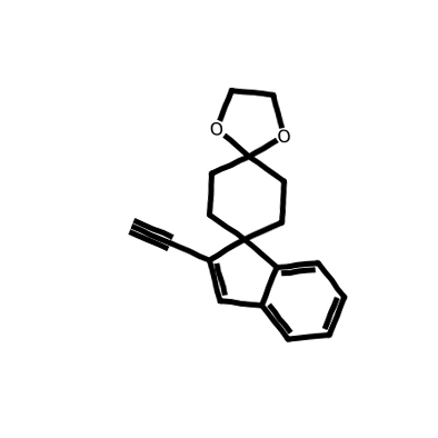 C#CC1=Cc2ccccc2C12CCC1(CC2)OCCO1